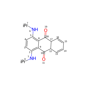 CC(C)Nc1ccc(NC(C)C)c2c1C(=O)C1C=CC=CC1C2=O